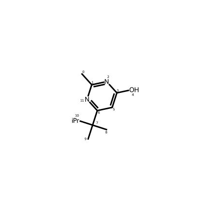 Cc1nc(O)cc(C(C)(C)C(C)C)n1